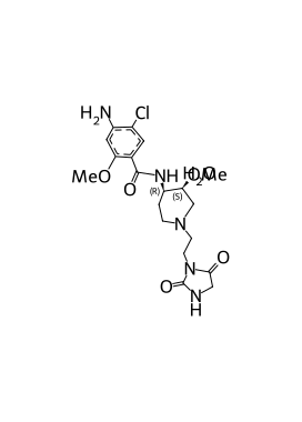 COc1cc(N)c(Cl)cc1C(=O)N[C@@H]1CCN(CCN2C(=O)CNC2=O)C[C@@H]1OC.O